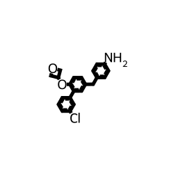 Nc1ccc(Cc2ccc(OC3COC3)c(-c3cccc(Cl)c3)c2)cc1